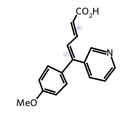 COc1ccc(/C(=C/C=C/C(=O)O)c2cccnc2)cc1